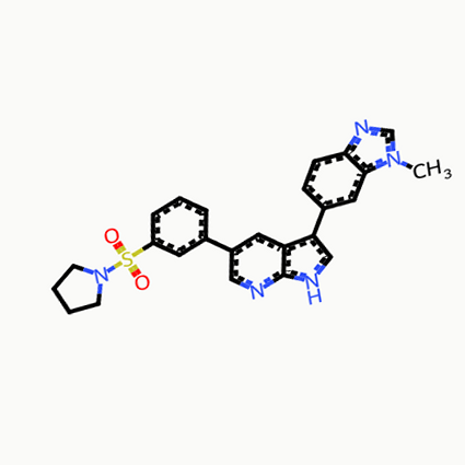 Cn1cnc2ccc(-c3c[nH]c4ncc(-c5cccc(S(=O)(=O)N6CCCC6)c5)cc34)cc21